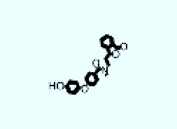 CN(CCC1OC(=O)c2ccccc21)C(=O)c1ccc(Oc2ccc(O)cc2)cc1